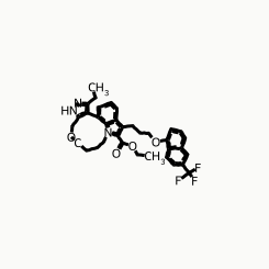 CCOC(=O)c1c(CCCOc2cccc3cc(C(F)(F)F)ccc23)c2cccc3c2n1CCCCOCc1[nH]nc(CC)c1-3